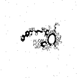 CC[C@H]1OC(=O)[C@H](C)C([C@H]2C[C@@](C)(OC)[C@@H](O)[C@H](C)O2)[C@H](C)[C@@H](O[C@H]2C[C@@H](N(C)CCC(=O)N[C@H](CF)[C@H](O)c3ccc(-c4cccnc4)cc3)C[C@@H](C)O2)[C@](C)(OC)C[C@@H](C)/C(=N\OCOC)[C@H](C)[C@@H](O)[C@]1(C)O